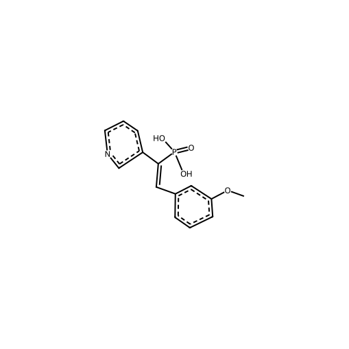 COc1cccc(C=C(c2cccnc2)P(=O)(O)O)c1